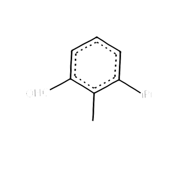 Cc1c(C=O)cccc1C(C)C